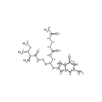 CC[C@H](C)[C@H](N)C(=O)OCCC(COC(=O)CCCC(C)=O)Cc1nc2nc(N)[nH]c(=O)c2[nH]1